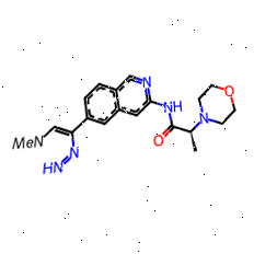 CN/C=C(\N=N)c1ccc2cnc(NC(=O)[C@H](C)N3CCOCC3)cc2c1